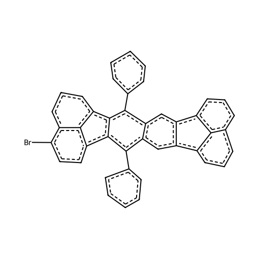 Brc1ccc2c3c(-c4ccccc4)c4cc5c(cc4c(-c4ccccc4)c3c3cccc1c32)c1cccc2cccc5c21